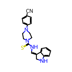 N#Cc1ccc(N2CCN(C(=S)N/C=C3/CNc4ccccc43)CC2)cc1